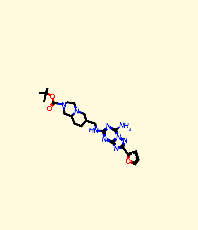 CC(C)(C)OC(=O)N1CCN2CC(CNc3nc(N)n4nc(-c5ccco5)nc4n3)CCC2C1